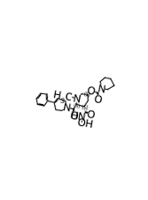 CN1C[C@@H](OC(=O)N2CCCCC2)C[C@H](C(=O)NO)[C@H]1C(=O)N1CC=C(c2ccccc2)CC1